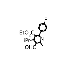 CCOC(=O)c1c(-c2ccc(F)cc2)nc(C)c(C=O)c1C(C)C